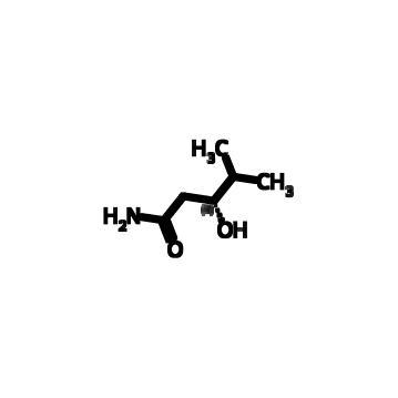 CC(C)[C@H](O)CC(N)=O